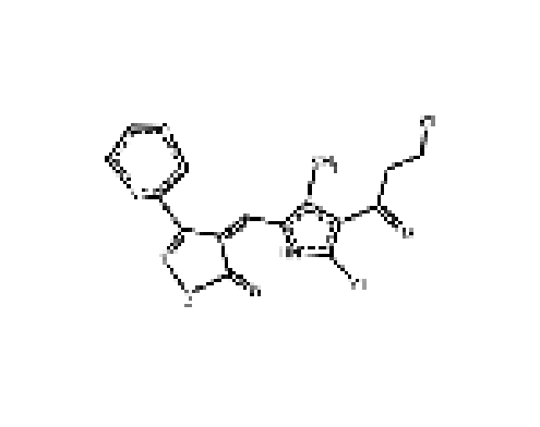 Cc1[nH]c(C=C2C(=O)NN=C2c2cnccn2)c(C)c1C(=O)CCCl